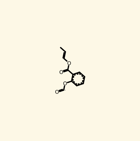 CC=COC(=O)c1ccccc1O[C]=O